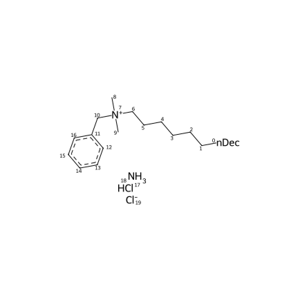 CCCCCCCCCCCCCCCC[N+](C)(C)Cc1ccccc1.Cl.N.[Cl-]